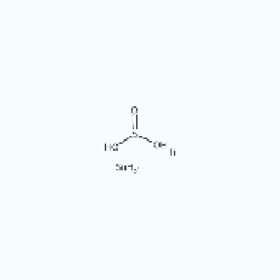 O=[Si](O)O.[SnH2].[Ti]